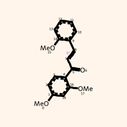 COc1ccc(C(=O)/C=C/c2ccccc2OC)c(OC)c1